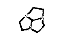 C1CN2CCN3CCN1C23